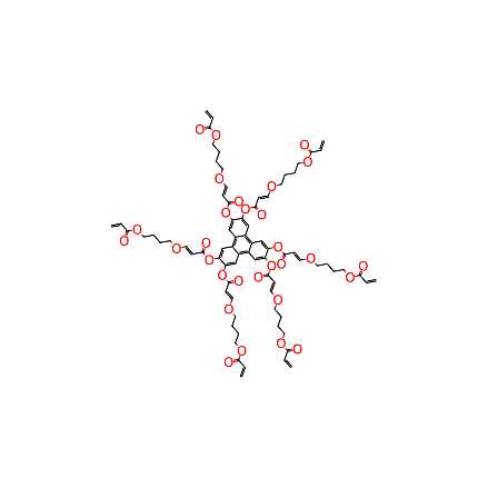 C=CC(=O)OCCCCO/C=C/C(=O)Oc1cc2c3cc(OC(=O)/C=C/OCCCCOC(=O)C=C)c(OC(=O)/C=C/OCCCCOC(=O)C=C)cc3c3cc(OC(=O)/C=C/OCCCCOC(=O)C=C)c(OC(=O)/C=C/OCCCCOC(=O)C=C)cc3c2cc1OC(=O)/C=C/OCCCCOC(=O)C=C